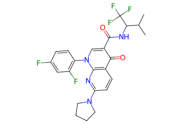 CC(C)C(NC(=O)c1cn(-c2ccc(F)cc2F)c2nc(N3CCCC3)ccc2c1=O)C(F)(F)F